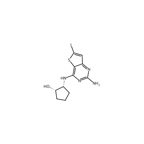 Nc1nc(N[C@@H]2CCC[C@@H]2O)c2sc(I)cc2n1